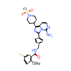 CCS(=O)(=O)N1CCC(c2nc(-c3ccc(CNC(=O)c4cc(F)ccc4OC)cc3)n3c(N)nccc23)CC1